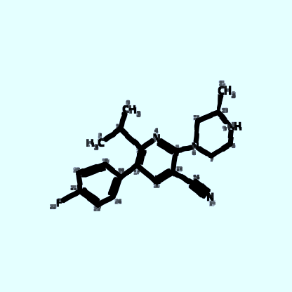 CC(C)c1nc(N2CCN[C@H](C)C2)c(C#N)cc1-c1ccc(F)cc1